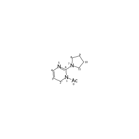 CC(=O)N1[CH]C=CN=C1N1CCCC1